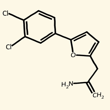 C=C(N)Cc1ccc(-c2ccc(Cl)c(Cl)c2)o1